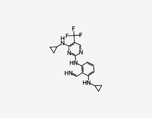 N=Cc1c(Nc2ncc(C(F)(F)F)c(NC3CC3)n2)cccc1NC1CC1